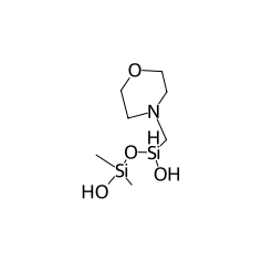 C[Si](C)(O)O[SiH](O)CN1CCOCC1